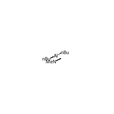 CCC[CH2][Al+][CH2]CCC.C[N-]C